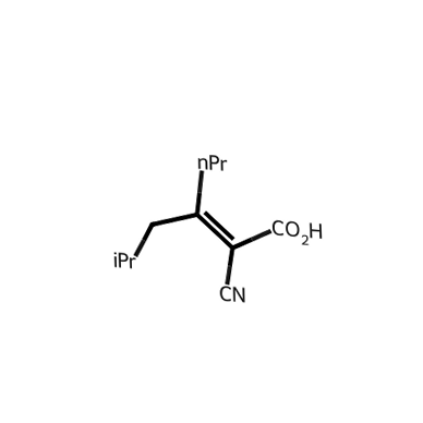 CCCC(CC(C)C)=C(C#N)C(=O)O